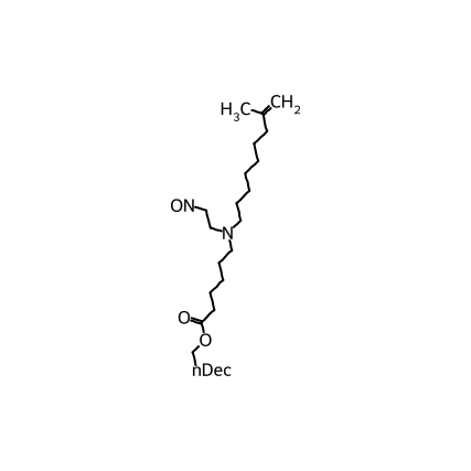 C=C(C)CCCCCCCN(CCCCCC(=O)OCCCCCCCCCCC)CCN=O